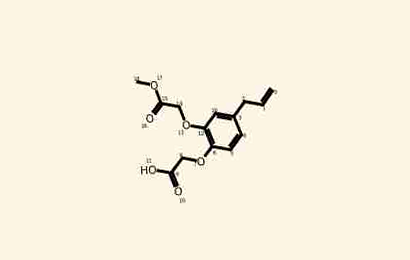 C=CCc1ccc(OCC(=O)O)c(OCC(=O)OC)c1